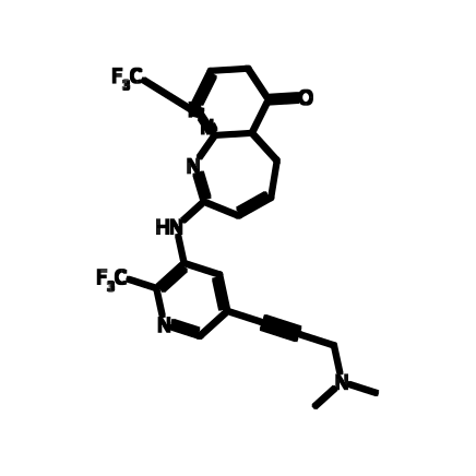 CN(C)CC#Cc1cnc(C(F)(F)F)c(NC2=NC34N=CN=C(C(F)(F)F)C3=CCC(=O)C4CC=C2)c1